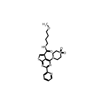 COCCCCNC(=O)c1csc2nc(-c3ccccn3)nc(N3CCS(=O)(=O)CC3)c12